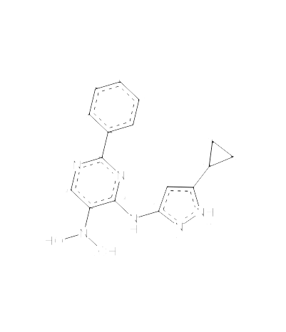 ON(O)c1cnc(-c2ccccc2)nc1Nc1cc(C2CC2)[nH]n1